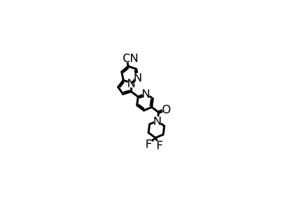 N#Cc1cnn2c(-c3ccc(C(=O)N4CCC(F)(F)CC4)cn3)ccc2c1